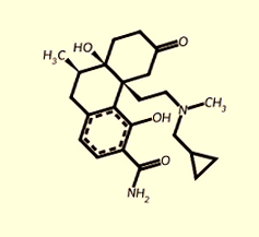 C[C@@H]1Cc2ccc(C(N)=O)c(O)c2[C@@]2(CCN(C)CC3CC3)CC(=O)CC[C@@]12O